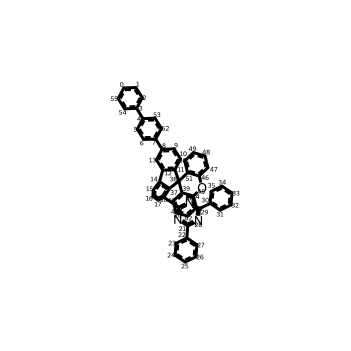 c1ccc(-c2ccc(-c3ccc4c(c3)-c3cccc(-c5nc(-c6ccccc6)nc(-c6ccccc6)n5)c3C43c4ccccc4Oc4ccccc43)cc2)cc1